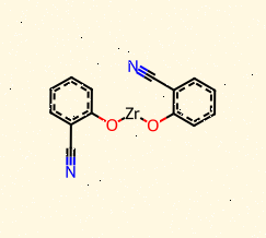 N#Cc1ccccc1[O][Zr][O]c1ccccc1C#N